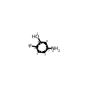 Nc1ccc(F)c(O)c1